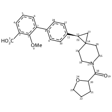 COc1c(C(=O)O)cccc1-c1ccc([C@H]2CC23CCN(C(=O)C2CCCO2)CC3)cc1